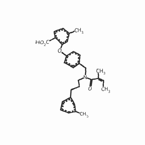 C/C=C(/C)C(=O)N(CCCc1cccc(C)c1)Cc1ccc(Oc2cc(C)ccc2C(=O)O)cc1